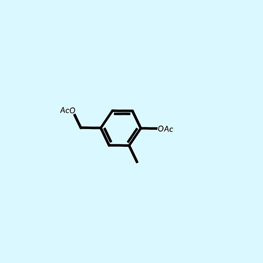 CC(=O)OCc1ccc(OC(C)=O)c(C)c1